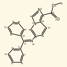 COC(=O)c1ncn2cc(N=C(c3ccccc3)c3ccccc3)ccc12